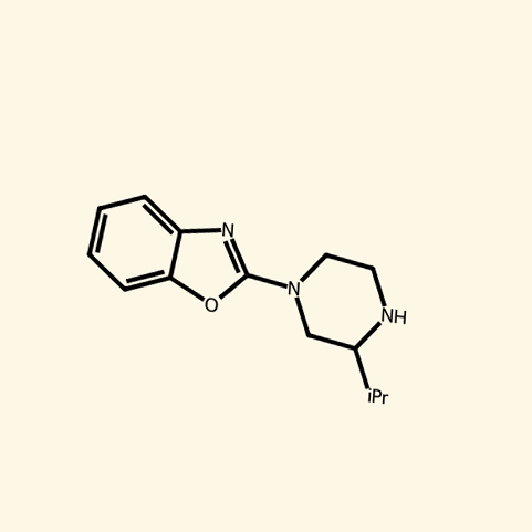 CC(C)C1CN(c2nc3ccccc3o2)CCN1